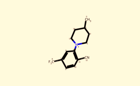 CC1CCN(c2cc(C(F)(F)F)ccc2C#N)CC1